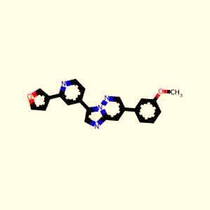 COc1cccc(-c2cnn3c(-c4ccnc(-c5ccoc5)c4)cnc3c2)c1